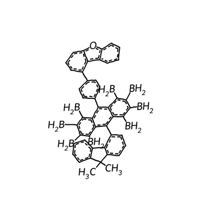 Bc1c(B)c(B)c2c(-c3cccc4c3-c3ccccc3C4(C)C)c3c(B)c(B)c(B)c(B)c3c(-c3ccc(-c4cccc5oc6ccccc6c45)cc3)c2c1B